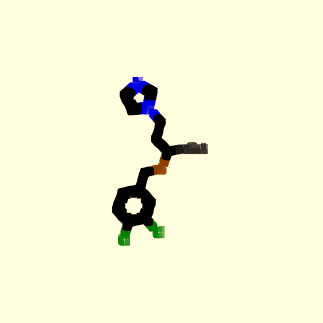 CCCCCCCCC(CCn1ccnc1)SCc1ccc(Cl)c(Cl)c1